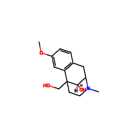 COc1ccc2c(c1)C1(CO)CCN(C)C(C2)[C@H]1O